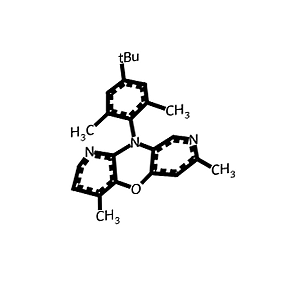 Cc1cc2c(cn1)N(c1c(C)cc(C(C)(C)C)cc1C)c1nccc(C)c1O2